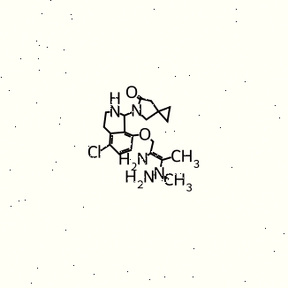 C/C(=C(/N)COc1ccc(Cl)c2c1C(N1CC3(CC3)CC1=O)NCC2)N(C)N